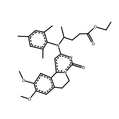 CCOC(=O)CCC(C)N(c1cc2n(c(=O)n1)CCc1cc(OC)c(OC)cc1-2)c1c(C)cc(C)cc1C